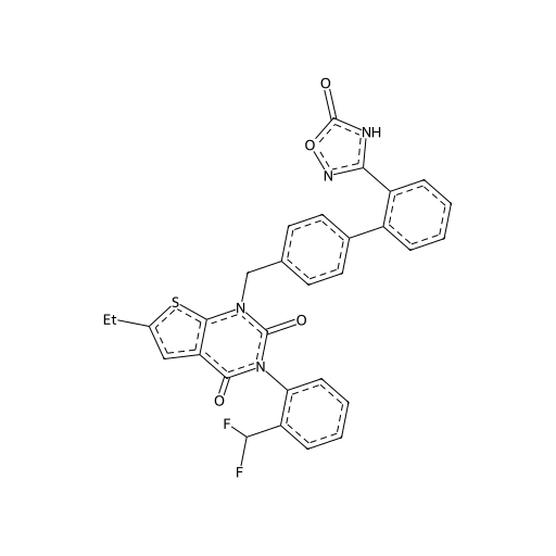 CCc1cc2c(=O)n(-c3ccccc3C(F)F)c(=O)n(Cc3ccc(-c4ccccc4-c4noc(=O)[nH]4)cc3)c2s1